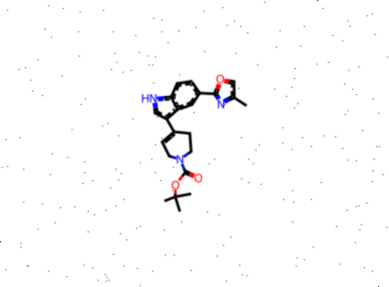 Cc1coc(-c2ccc3[nH]cc(C4=CCN(C(=O)OC(C)(C)C)CC4)c3c2)n1